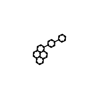 [c]1cc(-c2ccc3ccc4cccc5ccc2c3c45)ccc1-c1ccccc1